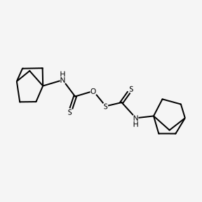 S=C(NC12CCC(CC1)C2)OSC(=S)NC12CCC(CC1)C2